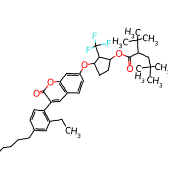 CCCCCc1ccc(-c2cc3ccc(OC4CCC(OC(=O)C(CC(C)(C)C)C(C)(C)C)C4C(F)(F)F)cc3oc2=O)c(CC)c1